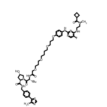 Cc1ncsc1-c1ccc(CNC(=O)[C@H]2C[C@H](O)CN2C(=O)[C@H](NC(=O)COCCCOCCCCOCCCOc2ccc(Nc3ncc(F)c(NCCN(C)C(=O)C4CCC4)n3)cc2)C(C)(C)C)cc1